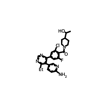 CCc1ncnc(-c2cc(F)c(C(=O)N3CCC(C(C)O)CC3)c(Cl)c2)c1-c1ccc(N)nc1